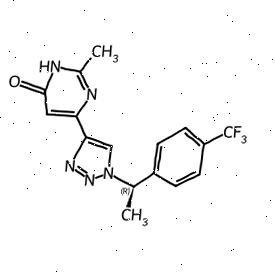 Cc1nc(-c2cn([C@H](C)c3ccc(C(F)(F)F)cc3)nn2)cc(=O)[nH]1